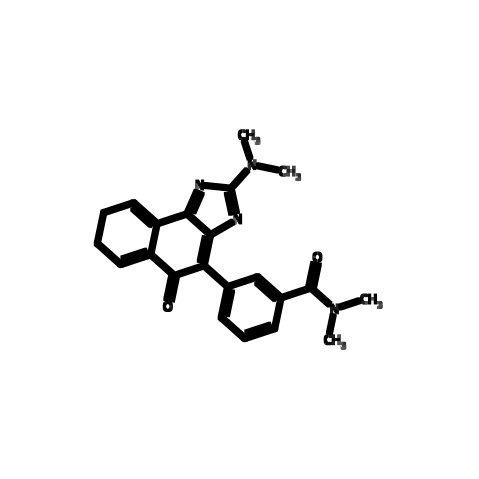 CN(C)C(=O)c1cccc(C2=C3N=C(N(C)C)N=C3C3=CCCC=C3C2=O)c1